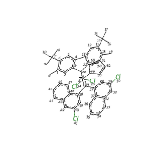 Cc1cc2c(cc1C(C)(C)C)-c1cc(C(C)(C)C)c(C)cc1[CH]2[Zr]([Cl])([Cl])(=[C](c1cc(Cl)cc2ccccc12)c1cc(Cl)cc2ccccc12)[CH]1C=CC=C1